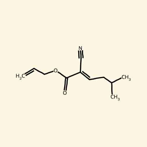 C=CCOC(=O)C(C#N)=CCC(C)C